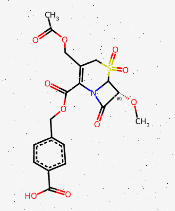 CO[C@@H]1C(=O)N2C(C(=O)OCc3ccc(C(=O)O)cc3)=C(COC(C)=O)CS(=O)(=O)C12